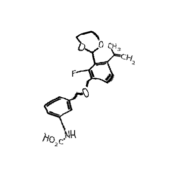 C=C(C)c1ccc(OCc2cccc(NC(=O)O)c2)c(F)c1C1OCCO1